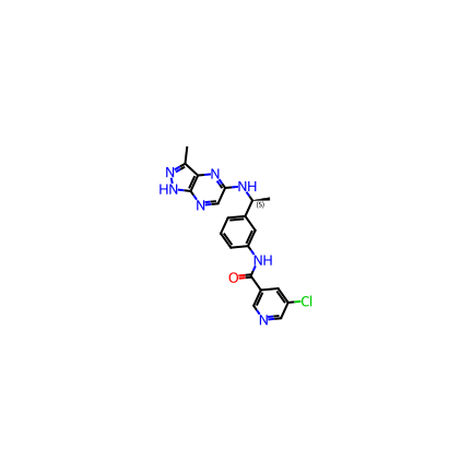 Cc1n[nH]c2ncc(N[C@@H](C)c3cccc(NC(=O)c4cncc(Cl)c4)c3)nc12